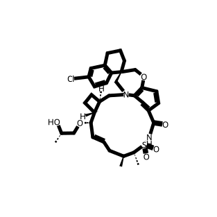 C[C@H](O)CO[C@H]1/C=C/C[C@H](C)[C@@H](C)S(=O)(=O)NC(=O)c2ccc3c(c2)N(C[C@@H]2CC[C@H]21)C[C@@]1(CCCc2cc(Cl)ccc21)CO3